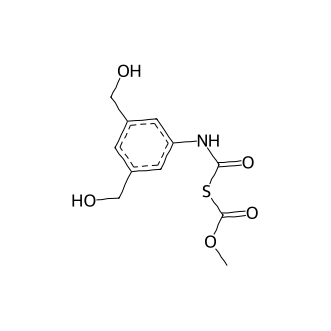 COC(=O)SC(=O)Nc1cc(CO)cc(CO)c1